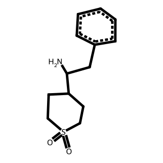 NC(Cc1ccccc1)C1CCS(=O)(=O)CC1